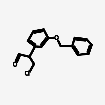 O=CC(CCl)c1cccc(OCc2ccccc2)c1